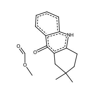 CC1(C)CCc2[nH]c3ccccc3c(=O)c2C1.COC=O